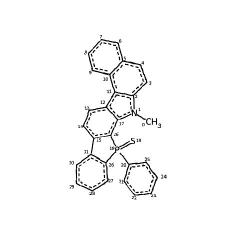 Cn1c2ccc3ccccc3c2c2ccc3c(c21)P(=S)(c1ccccc1)c1ccccc1-3